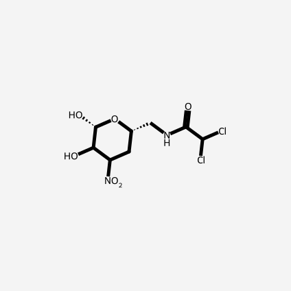 O=C(NC[C@@H]1CC([N+](=O)[O-])C(O)[C@H](O)O1)C(Cl)Cl